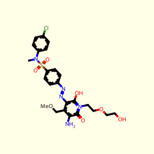 COCc1c(/N=N/c2ccc(S(=O)(=O)N(C)c3ccc(Cl)cc3)cc2)c(O)n(CCOCCO)c(=O)c1N